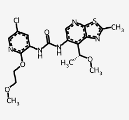 COCCOc1ncc(Cl)cc1NC(=O)Nc1cnc2sc(C)nc2c1[C@@H](C)OC